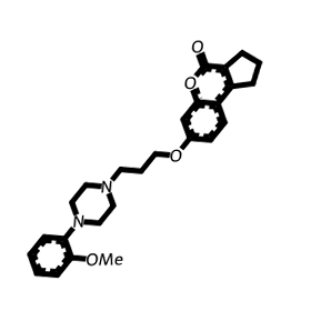 COc1ccccc1N1CCN(CCCOc2ccc3c4c(c(=O)oc3c2)CCC4)CC1